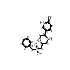 O=c1ccc(C2COC(CP(=O)(O)Cc3ccccc3)CN2)c[nH]1